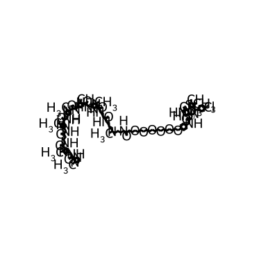 CC(=N)N1C(=N)[C@H](CC(=O)Nc2ccc(OCCOCCOCCOCCOCCOCCC(=O)NCCCN(C)CCCNC(=O)CCNC(=O)c3nc(NC(=O)c4cc(NC(=O)c5cc(NC(=O)c6nc(NC(=O)CCNC(=O)c7cc(NC(=O)c8nccn8C)cn7C)cn6C)cn5C)cn4C)cn3C)cc2)N=C(c2ccc(Cl)cc2)c2c1sc(C)c2C